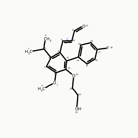 COc1cc(C(C)C)c(/C=C/C=O)c(-c2ccc(F)cc2)c1OCCO